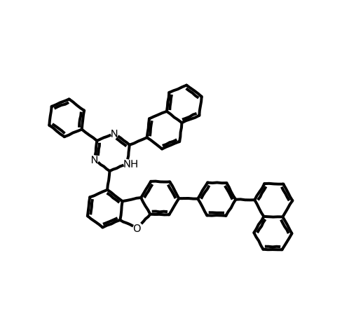 c1ccc(C2=NC(c3cccc4oc5cc(-c6ccc(-c7cccc8ccccc78)cc6)ccc5c34)NC(c3ccc4ccccc4c3)=N2)cc1